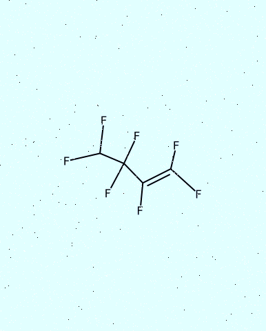 FC(F)=C(F)C(F)(F)C(F)F